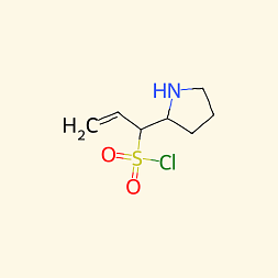 C=CC(C1CCCN1)S(=O)(=O)Cl